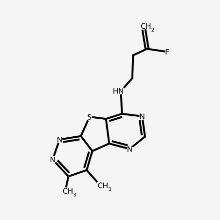 C=C(F)CCNc1ncnc2c1sc1nnc(C)c(C)c12